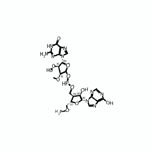 CO[C@@H]1C(OPOC[C@H]2[C@@H](O)[C@H](n3cnc4c(O)ncnc43)O[C@@H]2COP)O[C@@H](n2cnc3c(=O)[nH]c(N)nc32)[C@@H]1OO